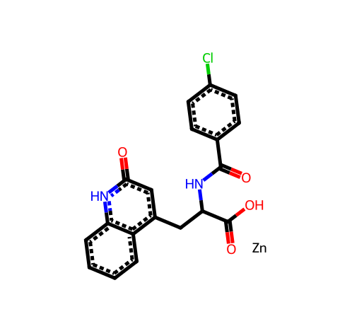 O=C(NC(Cc1cc(=O)[nH]c2ccccc12)C(=O)O)c1ccc(Cl)cc1.[Zn]